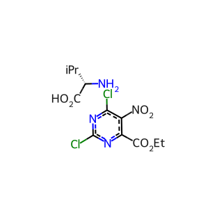 CC(C)[C@H](N)C(=O)O.CCOC(=O)c1nc(Cl)nc(Cl)c1[N+](=O)[O-]